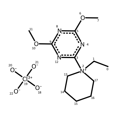 CC[N+]1(c2nc(OC)nc(OC)n2)CCCCC1.[O-][Cl+3]([O-])([O-])[O-]